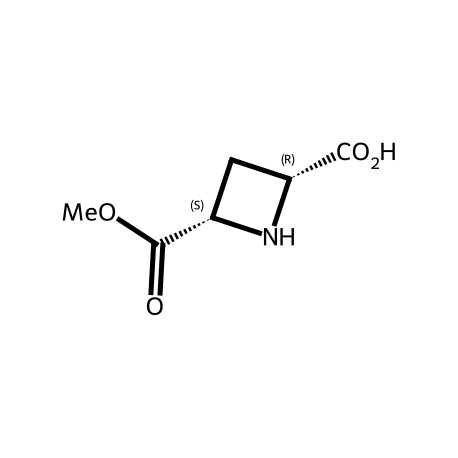 COC(=O)[C@@H]1C[C@H](C(=O)O)N1